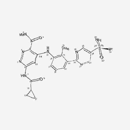 CNC(=O)c1nnc(NC(=O)C2CC2)cc1Nc1cccc(-c2ncc([S@](=N)(=O)C(C)C)cn2)c1OC